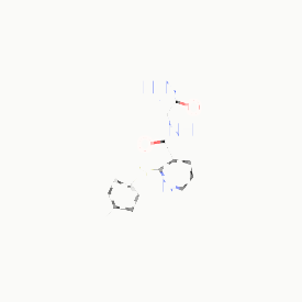 Cc1ccc(Sc2ncccc2C(=O)NCC(N)=O)cc1